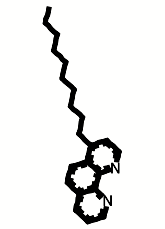 CCCCCCCCCCc1ccnc2c1ccc1cccnc12